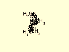 Cc1ccc(NC(=O)c2cccc(S(=O)(=O)N(C)C)c2)cc1NC(=O)c1ccc2ncn(C)c(=O)c2c1